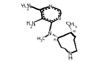 C[C@@H]1CCNC[C@@H]1N(C)c1ncnc(N)c1N